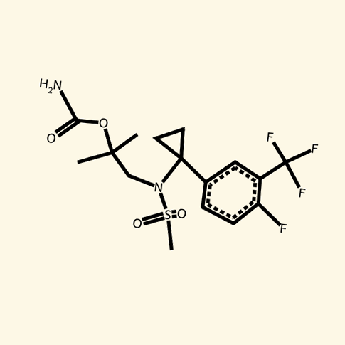 CC(C)(CN(C1(c2ccc(F)c(C(F)(F)F)c2)CC1)S(C)(=O)=O)OC(N)=O